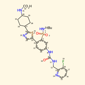 CC(C)(C)NS(=O)(=O)c1cc(NC(=O)NCc2ncccc2F)ccc1-c1cnc(C2CCC(NC(=O)O)CC2)s1